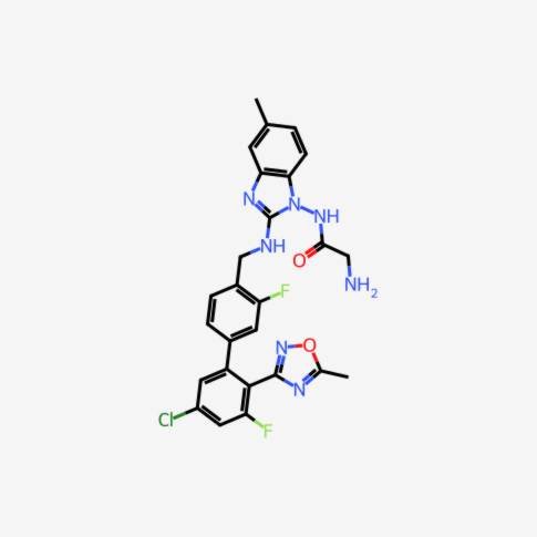 Cc1ccc2c(c1)nc(NCc1ccc(-c3cc(Cl)cc(F)c3-c3noc(C)n3)cc1F)n2NC(=O)CN